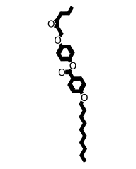 CCCCCCCCCCOc1ccc(C(=O)Oc2ccc(OCC3OC3CCC)cc2)cc1